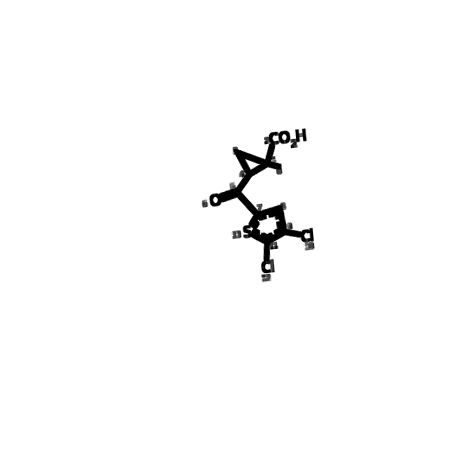 CC1(C(=O)O)CC1C(=O)c1cc(Cl)c(Cl)s1